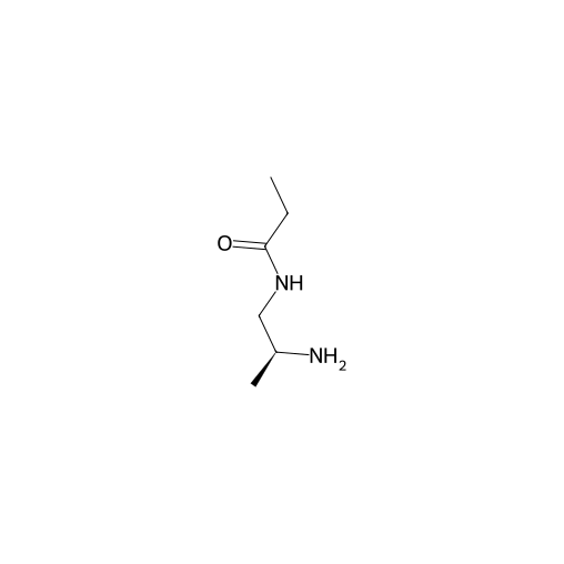 CCC(=O)NC[C@H](C)N